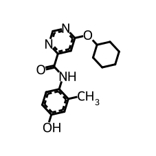 Cc1cc(O)ccc1NC(=O)c1cc(OC2CCCCC2)ncn1